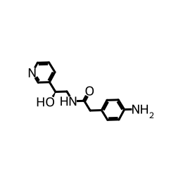 Nc1ccc(CC(=O)NC[C@@H](O)c2cccnc2)cc1